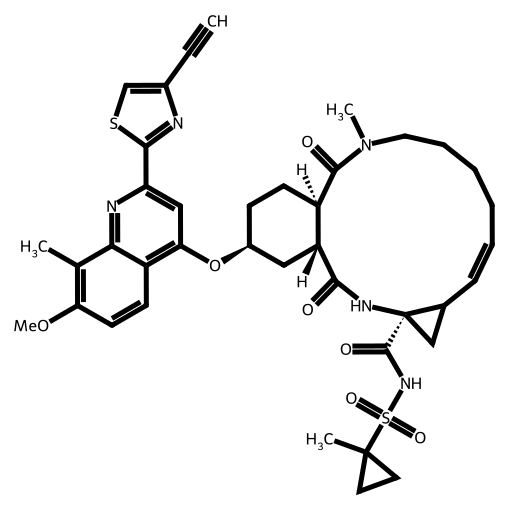 C#Cc1csc(-c2cc(O[C@H]3CC[C@H]4C(=O)N(C)CCCC/C=C\C5C[C@@]5(C(=O)NS(=O)(=O)C5(C)CC5)NC(=O)[C@@H]4C3)c3ccc(OC)c(C)c3n2)n1